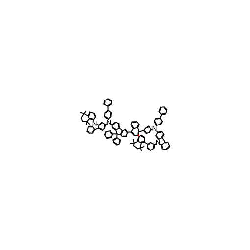 CC1(C)CCC(C)(C)c2c(-c3cccc(-n4c5ccccc5c5ccc(N(c6ccc(-c7ccccc7)cc6)c6ccc(-c7ccc(-c8ccc9c(c8)-c8ccc(N(c%10ccc(-c%11ccccc%11)cc%10)c%10ccc%11c%12ccccc%12n(-c%12cccc%13c%12C(C)(C)CCC%13(C)C)c%11c%10)cc8C9(c8ccccc8)c8ccccc8)c8ccccc78)cc6)cc54)c3)cccc21